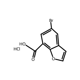 Cl.O=C(O)c1cc(Br)cc2ccoc12